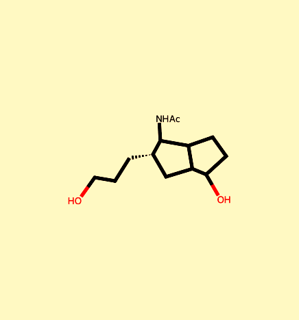 CC(=O)NC1C2CCC(O)C2C[C@@H]1CCCO